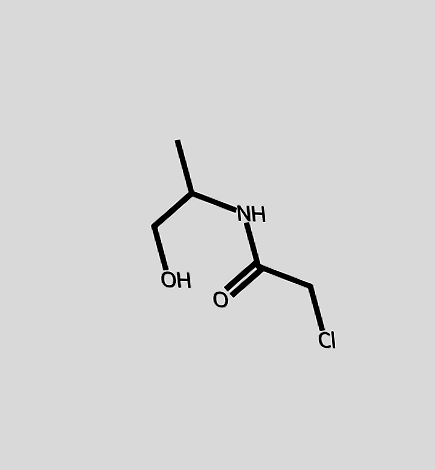 CC(CO)NC(=O)CCl